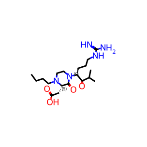 CCCCN1CCN([C@@H](CCCNC(=N)N)C(=O)C(C)C)C(=O)[C@@H]1CC(=O)O